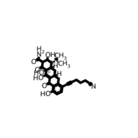 CN(C)[C@@H]1C(O)C(C(N)=O)C(=O)[C@@]2(O)C(O)=C3C(=O)c4c(O)ccc(C#CCCCC#N)c4C[C@H]3C[C@@H]12